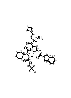 BON(CCC1CCC1)C(=O)C1CC(OC(=O)N2Cc3ccccc3C2)CN1C(=O)C(NC(=O)OCC(C)(C)C)C1CCCCC1